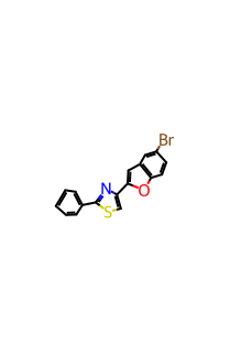 Brc1ccc2oc(-c3csc(-c4ccccc4)n3)cc2c1